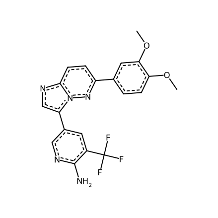 COc1ccc(-c2ccc3ncc(-c4cnc(N)c(C(F)(F)F)c4)n3n2)cc1OC